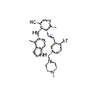 CCc1ccc(CN2CCN(C)CC2)cc1/C=C/c1c(C)ncc(C#N)c1Nc1ccc2[nH]ccc2c1C